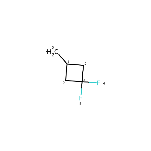 [CH2]C1CC(F)(F)C1